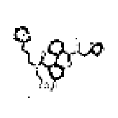 O=C(O)CCN(CCCc1ccccc1)C(=O)c1ccccc1-c1ccccc1C(=O)NCc1cccs1